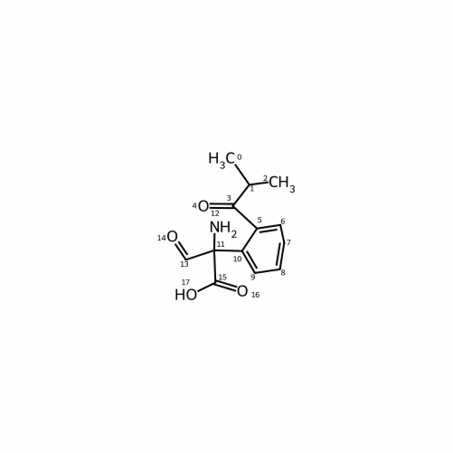 CC(C)C(=O)c1ccccc1C(N)(C=O)C(=O)O